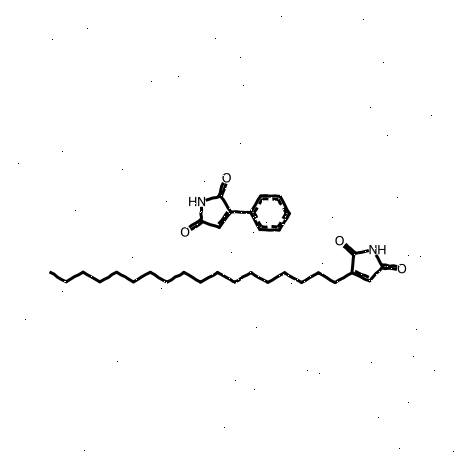 CCCCCCCCCCCCCCCCCCC1=CC(=O)NC1=O.O=C1C=C(c2ccccc2)C(=O)N1